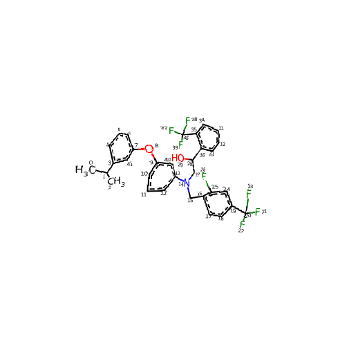 CC(C)c1cccc(Oc2cccc(N(Cc3ccc(C(F)(F)F)cc3F)CC(O)c3ccccc3C(F)(F)F)c2)c1